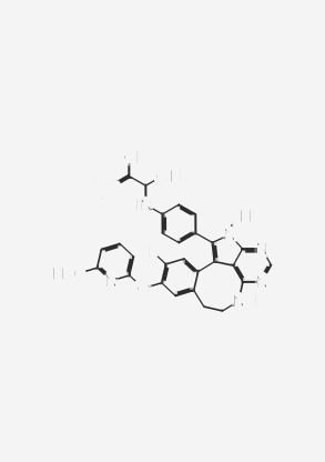 C=C(C)C(O)Nc1ccc(-c2c3c4c(ncnc4n2C)NCCc2cc(Oc4cccc(C)n4)c(F)cc2-3)cc1